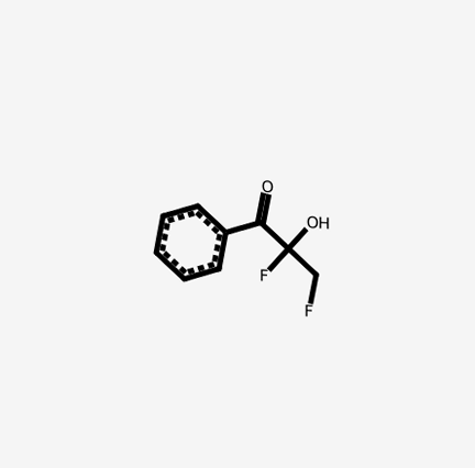 O=C(c1ccccc1)C(O)(F)CF